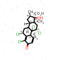 C[C@@H]1C[C@H]2[C@@H]3C[C@H](Cl)C4=C(Cl)C(=O)C=C[C@]4(C)[C@@]3(Cl)[C@@H](Cl)C[C@]2(C)[C@@]1(O)C(=O)O